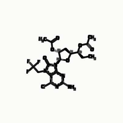 CC[C@H](OC(C)=O)[C@@H]1C[C@@H](OC(C)=O)[C@H](n2c(=O)n(CC(F)(F)F)c3c(Cl)nc(N)nc32)O1